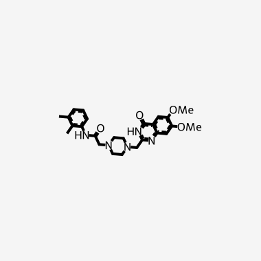 COc1cc2nc(CN3CCN(CC(=O)Nc4cccc(C)c4C)CC3)[nH]c(=O)c2cc1OC